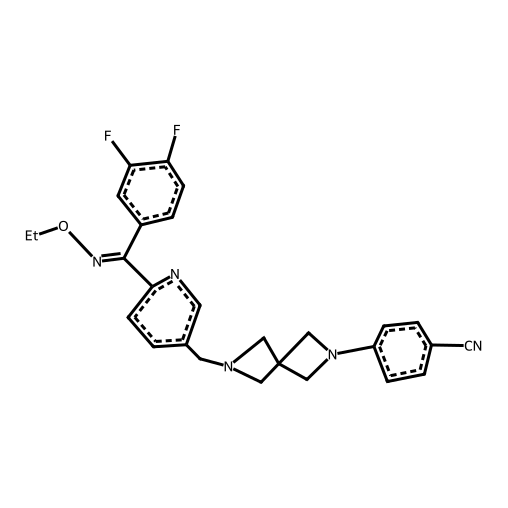 CCO/N=C(\c1ccc(F)c(F)c1)c1ccc(CN2CC3(C2)CN(c2ccc(C#N)cc2)C3)cn1